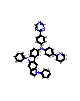 c1ccc(-n2ccc3cc4c(cc32)c2cc(N(c3ccc(-c5ccccn5)cc3)c3ccc(-c5ncncn5)cc3)ccc2n4-c2ccccc2)cc1